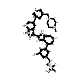 CN1CCN(Cc2cncc(-c3cnc4[nH]nc(-c5nc6c(-c7cc(F)cc(CNS(C)(=O)=O)c7)cncc6[nH]5)c4c3)c2)CC1